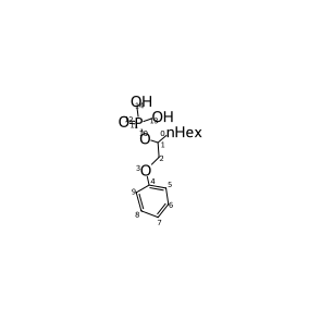 CCCCCCC(COc1ccccc1)OP(=O)(O)O